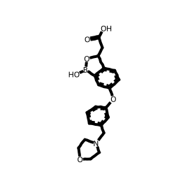 O=C(O)CC1OB(O)c2cc(Oc3cccc(CN4CCOCC4)c3)ccc21